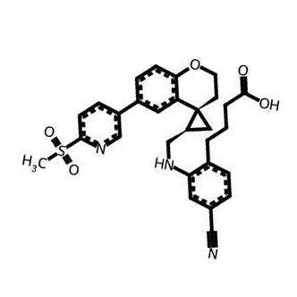 CS(=O)(=O)c1ccc(-c2ccc3c(c2)[C@]2(CCO3)C[C@H]2CNc2cc(C#N)ccc2CCCC(=O)O)cn1